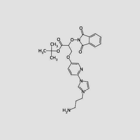 CC(C)(C)OC(=O)C(COc1ccc(-n2cc[n+](CCCN)c2)nc1)ON1C(=O)c2ccccc2C1=O